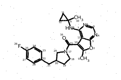 Cc1oc2ncnc(NC3(C)CC3)c2c1C(=O)N1CCC(Cc2ccc(F)cc2)C1